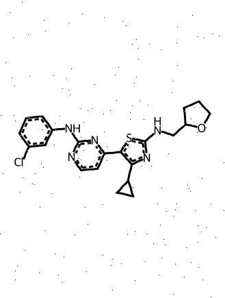 Clc1cccc(Nc2nccc(-c3sc(NCC4CCCO4)nc3C3CC3)n2)c1